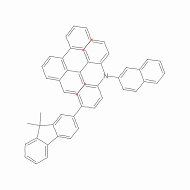 CC1(C)c2ccccc2-c2ccc(-c3ccc(N(c4ccc5ccccc5c4)c4ccccc4-c4cccc5cccc(-c6ccccc6)c45)cc3)cc21